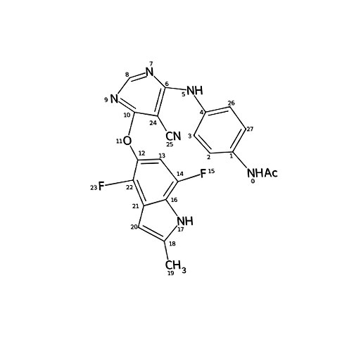 CC(=O)Nc1ccc(Nc2ncnc(Oc3cc(F)c4[nH]c(C)cc4c3F)c2C#N)cc1